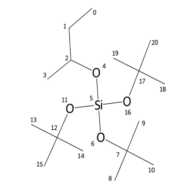 CCC(C)O[Si](OC(C)(C)C)(OC(C)(C)C)OC(C)(C)C